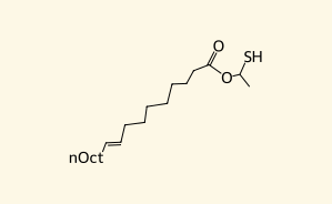 CCCCCCCCC=CCCCCCCCC(=O)OC(C)S